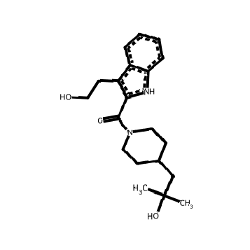 CC(C)(O)CC1CCN(C(=O)c2[nH]c3ccccc3c2CCO)CC1